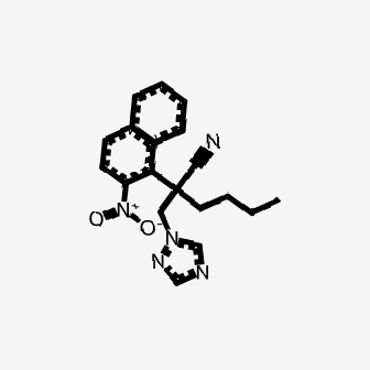 CCCCC(C#N)(Cn1cncn1)c1c([N+](=O)[O-])ccc2ccccc12